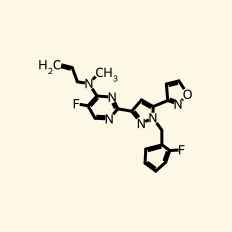 C=CCN(C)c1nc(-c2cc(-c3ccon3)n(Cc3ccccc3F)n2)ncc1F